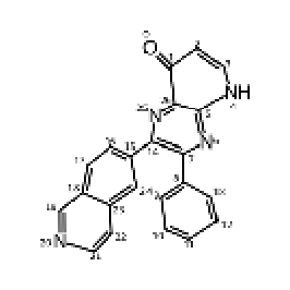 O=c1cc[nH]c2nc(-c3ccccc3)c(-c3ccc4cnccc4c3)nc12